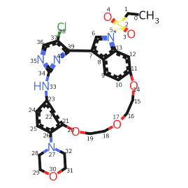 CCS(=O)(=O)n1cc2c3ccc(cc31)OCCOCCOc1cc(ccc1N1CCOCC1)Nc1ncc(Cl)c-2n1